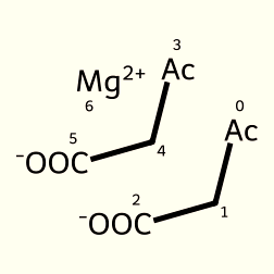 CC(=O)CC(=O)[O-].CC(=O)CC(=O)[O-].[Mg+2]